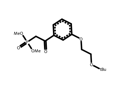 COP(=O)(CC(=O)c1cccc(OCCOC(C)(C)C)c1)OC